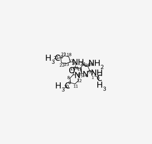 CCNc1nc(N2CCC(C)CC2)c(C(=O)N[C@H]2CC[C@H](C)CC2)cc1N